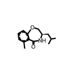 Cc1cccc2c1C(=O)N[C@H](CC(C)C)CO2